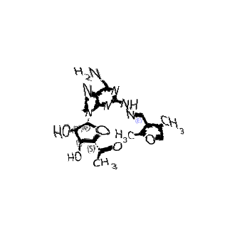 CC(=O)[C@H]1O[C@@H](n2cnc3c(N)nc(N/N=C/c4c(C)coc4C)nc32)[C@H](O)[C@@H]1O